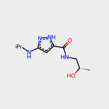 CC(C)Nc1cc(C(=O)NC[C@H](C)O)[nH]n1